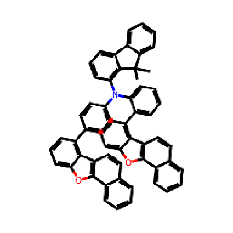 CC1(C)c2ccccc2-c2cccc(N(c3ccc(-c4cccc5oc6c7ccccc7ccc6c45)cc3)c3ccccc3-c3cccc4oc5c6ccccc6ccc5c34)c21